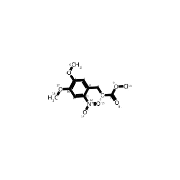 COc1cc(COC(=O)OCl)c([N+](=O)[O-])cc1OC